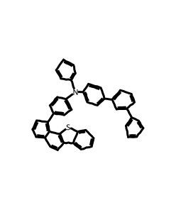 c1ccc(-c2cccc(-c3ccc(N(c4ccccc4)c4ccc(-c5cccc6ccc7c8ccccc8sc7c56)cc4)cc3)c2)cc1